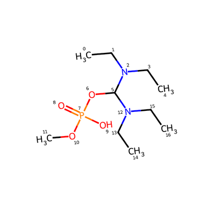 CCN(CC)C(OP(=O)(O)OC)N(CC)CC